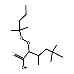 CCCC(C)(C)OOC(C(=O)O)C(C)CC(C)(C)C